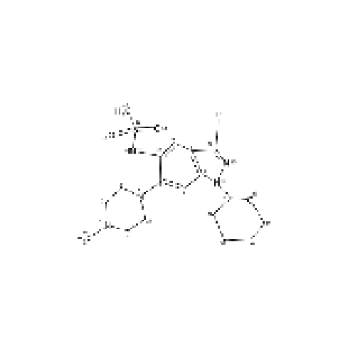 CN1CCN(c2cc3c(cc2NS(C)(=O)=O)c(I)nn3C2CCCCO2)CC1